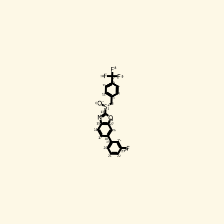 [O-][S+](Cc1ccc(C(F)(F)F)cc1)c1nc2ccc(-c3cccc(F)c3)cc2o1